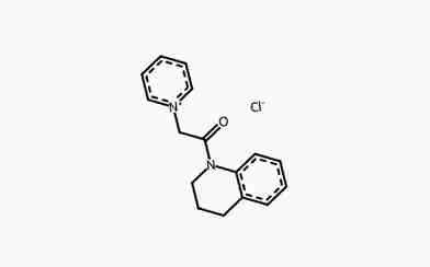 O=C(C[n+]1ccccc1)N1CCCc2ccccc21.[Cl-]